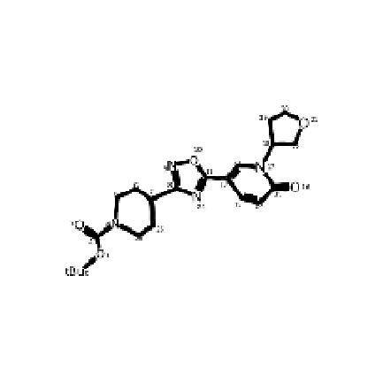 CC(C)(C)OC(=O)N1CCC(c2noc(-c3ccc(=O)n(C4CCOC4)c3)n2)CC1